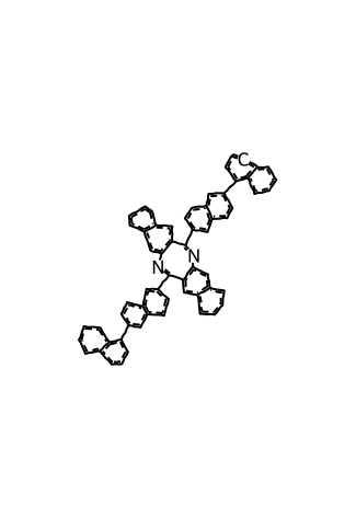 c1ccc2cc3c(cc2c1)/N=C(/c1ccc2cc(-c4cccc5ccccc45)ccc2c1)c1cc2ccccc2cc1/N=C\3c1ccc2cc(-c3cccc4ccccc34)ccc2c1